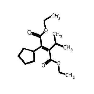 CCOC(=O)C(=C(C(=O)OCC)C1CCCC1)C(C)C